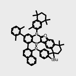 Cc1cc2c(cc1N1c3cc(-c4c(C)cccc4C)cc4c3B(c3c1oc1cc5c(cc31)C(C)(C)CCC5(C)C)N(c1ccc(C(C)(C)C)cc1)c1c-4ccc3ccccc13)C(C)(C)CCC2(C)C